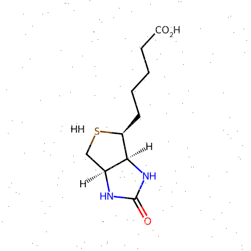 O=C(O)CCCC[C@@H]1SC[C@@H]2NC(=O)N[C@@H]21.[HH]